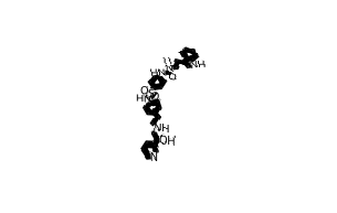 O=C(NCCc1c[nH]c2ccccc12)Nc1ccc(S(=O)(=O)Nc2ccc(CCNCC(O)c3cccnc3)cc2)cc1